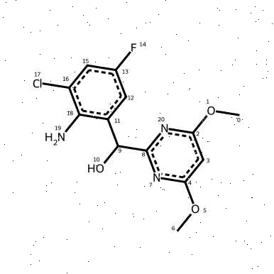 COc1cc(OC)nc(C(O)c2cc(F)cc(Cl)c2N)n1